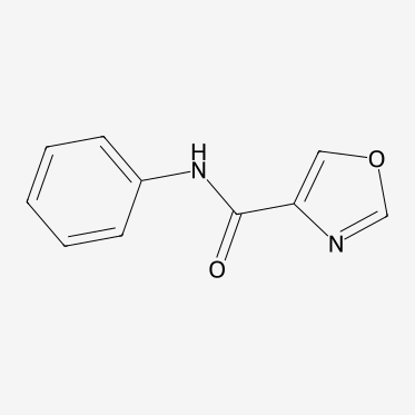 O=C(Nc1ccccc1)c1cocn1